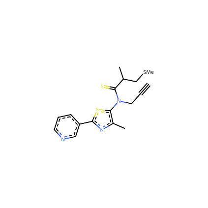 C#CCN(C(=S)C(C)CSC)c1sc(-c2cccnc2)nc1C